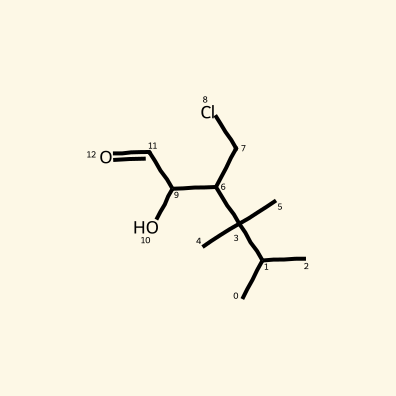 CC(C)C(C)(C)C(CCl)C(O)C=O